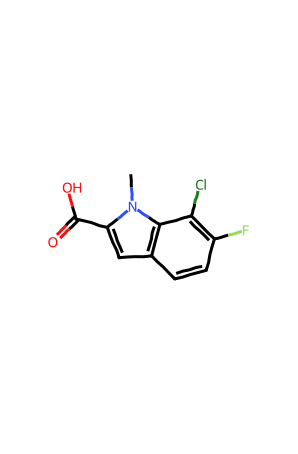 Cn1c(C(=O)O)cc2ccc(F)c(Cl)c21